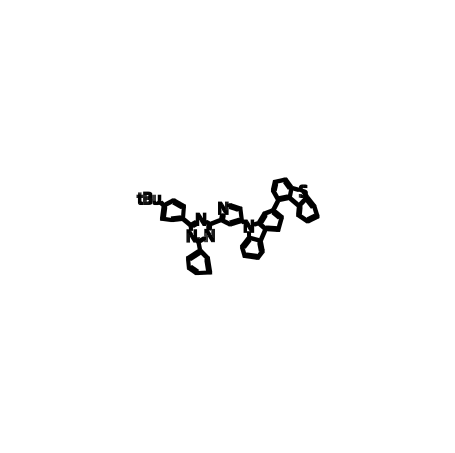 CC(C)(C)c1ccc(-c2nc(-c3ccccc3)nc(-c3cc(-n4c5ccccc5c5ccc(-c6cccc7sc8ccccc8c67)cc54)ccn3)n2)cc1